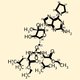 CCOC(=O)[C@H](CC(C)C)NP(=O)(N[C@@H](CC(C)C)C(=O)OCC)OC[C@H]1O[C@@H](n2cnc3c(N4CCCC4)nc(N)nc32)[C@@](C)(O)C1O